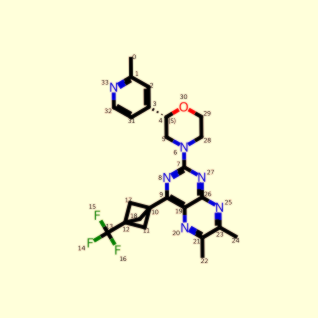 Cc1cc([C@H]2CN(c3nc(C45CC(C(F)(F)F)(C4)C5)c4nc(C)c(C)nc4n3)CCO2)ccn1